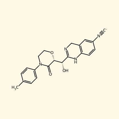 [C-]#[N+]c1ccc2c(c1)CN=C([C@H](O)[C@H]1OCCN(c3ccc(C)cc3)C1=O)N2